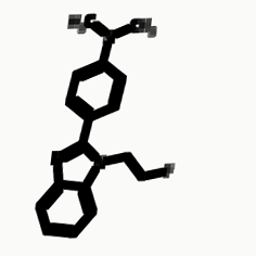 CN(C)c1ccc(-c2nc3ccccc3n2CCF)cc1